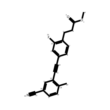 COC(=O)CCc1ccc(C#Cc2cc(C#N)ccc2C)cc1F